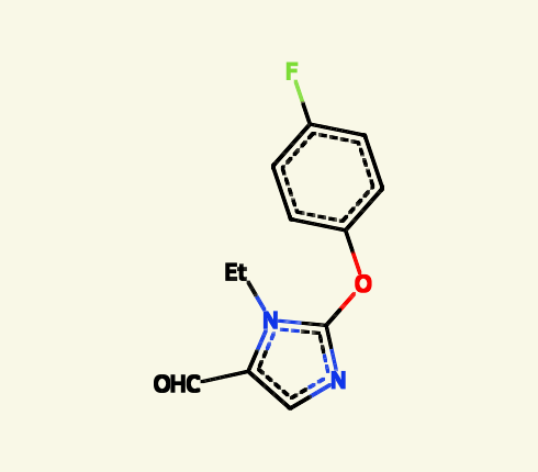 CCn1c(C=O)cnc1Oc1ccc(F)cc1